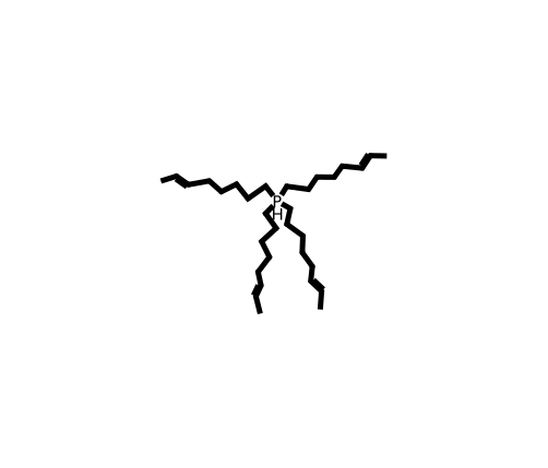 CC=CCCCCC[PH](CCCCCC=CC)(CCCCCC=CC)CCCCCC=CC